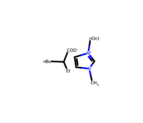 CCCCC(CC)C(=O)[O-].CCCCCCCC[n+]1ccn(C)c1